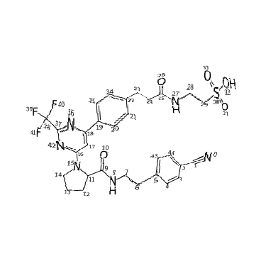 N#Cc1ccc(CCNC(=O)C2CCCN2c2cc(-c3ccc(CCC(=O)NCCS(=O)(=O)O)cc3)nc(C(F)(F)F)n2)cc1